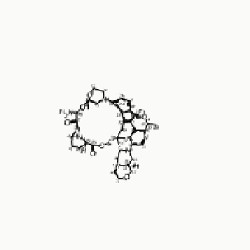 CCn1c(-c2cc(N3CCN4CCOC[C@@H]4C3)cnc2[C@H](C)OC)c2c3cc(ccc31)N1CCO[C@@H](C[C@H](N)C(=O)N3CCC[C@H](N3)C(=O)OCC(C)(C)C2)C1